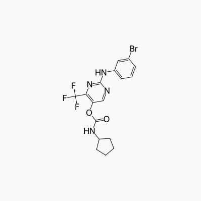 O=C(NC1CCCC1)Oc1cnc(Nc2cccc(Br)c2)nc1C(F)(F)F